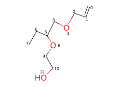 C=CCOCC(CC)OCCO